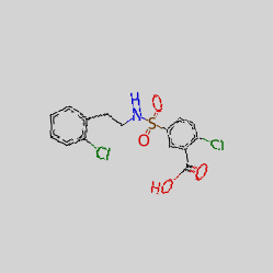 O=C(O)c1cc(S(=O)(=O)NCCc2ccccc2Cl)ccc1Cl